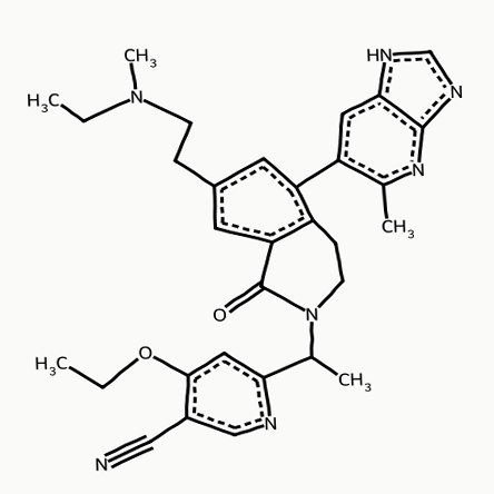 CCOc1cc(C(C)N2CCc3c(cc(CCN(C)CC)cc3-c3cc4[nH]cnc4nc3C)C2=O)ncc1C#N